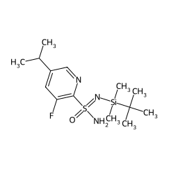 CC(C)c1cnc(S(N)(=O)=N[Si](C)(C)C(C)(C)C)c(F)c1